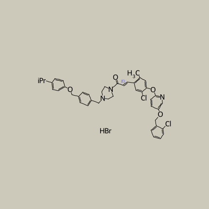 Br.Cc1cc(Oc2ccc(OCc3ccccc3Cl)cn2)c(Cl)cc1/C=C/C(=O)N1CCN(Cc2ccc(COc3ccc(C(C)C)cc3)cc2)CC1